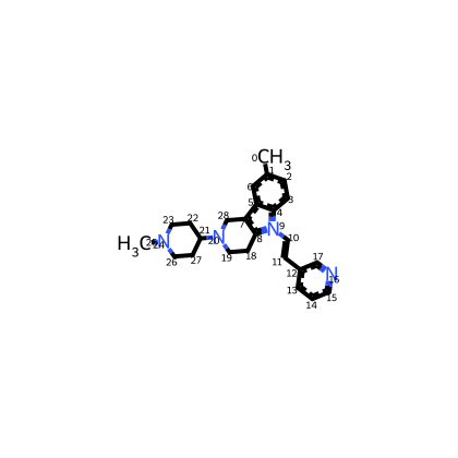 Cc1ccc2c(c1)c1c(n2C=Cc2cccnc2)CCN(C2CCN(C)CC2)C1